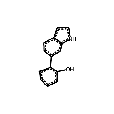 Oc1ccc[c]c1-c1ccc2cc[nH]c2c1